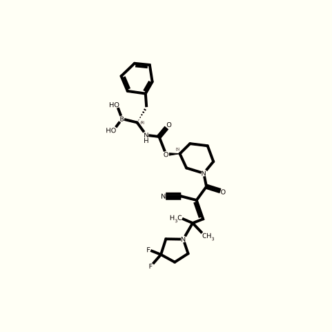 CC(C)(C=C(C#N)C(=O)N1CCC[C@H](OC(=O)N[C@@H](Cc2ccccc2)B(O)O)C1)N1CCC(F)(F)C1